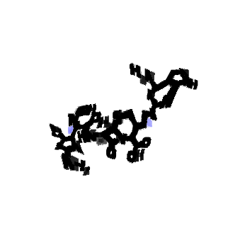 Nc1nc(/C(=N/O)C(=O)N[C@@H]2C(=O)N3C(C(=O)O)=C(/C=C/Sc4nc(N)c5cn[nH]c5n4)CS[C@H]23)c(Cl)s1